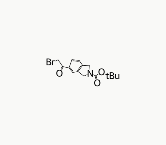 CC(C)(C)OC(=O)N1Cc2ccc(C(=O)CBr)cc2C1